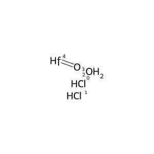 Cl.Cl.O.[O]=[Hf]